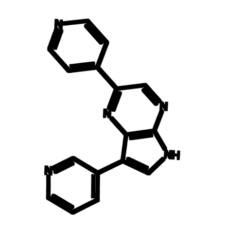 c1cncc(-c2c[nH]c3ncc(-c4ccncc4)nc23)c1